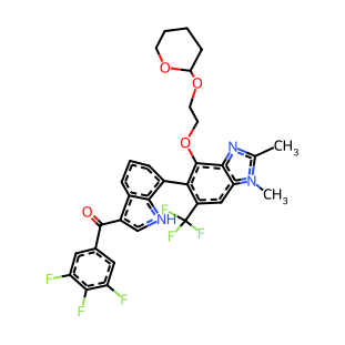 Cc1nc2c(OCCOC3CCCCO3)c(-c3cccc4c(C(=O)c5cc(F)c(F)c(F)c5)c[nH]c34)c(C(F)(F)F)cc2n1C